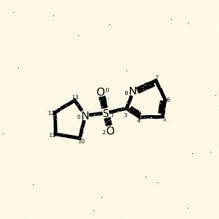 O=S(=O)(c1ccccn1)N1CCCC1